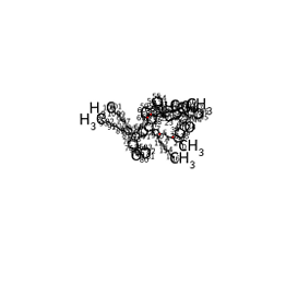 CCCCCCCCC1(CCCCCCCC)c2cc(N(c3ccc4c(c3)C(C)(C)c3c5c(c6oc7ccccc7c6c3-4)-c3ccccc3C5(C)C)c3ccccc3-c3ccccc3)ccc2-c2cc3c(cc21)-c1c(ccc2oc4ccccc4c12)C3(CCCCCCCC)CCCCCCCC